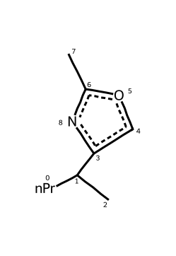 CCCC(C)c1coc(C)n1